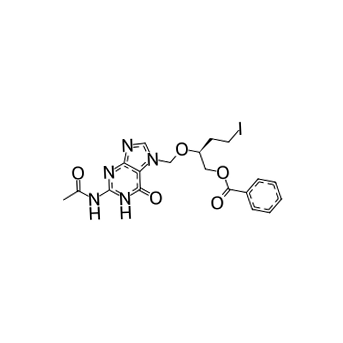 CC(=O)Nc1nc2ncn(CO[C@@H](CCI)COC(=O)c3ccccc3)c2c(=O)[nH]1